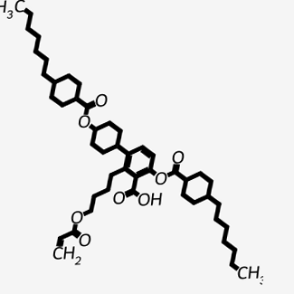 C=CC(=O)OCCCCc1c(C2CCC(OC(=O)C3CCC(CCCCCCC)CC3)CC2)ccc(OC(=O)C2CCC(CCCCCCC)CC2)c1C(=O)O